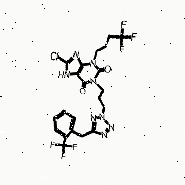 O=c1c2[nH]c(Cl)nc2n(CCCC(F)(F)F)c(=O)n1CCCn1nnc(Cc2ccccc2C(F)(F)F)n1